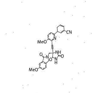 COc1ccc2c(c1)C(=O)N(C[C@@]1(C#Cc3nc(C4C=C(C#N)C=CC4)ccc3OC)NC(=O)NC1=O)C2